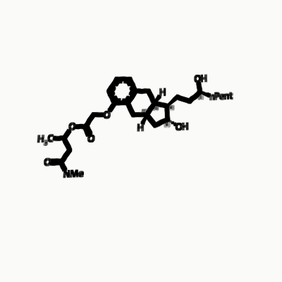 CCCCC[C@H](O)CC[C@@H]1[C@H]2Cc3cccc(OCC(=O)OC(C)CC(=O)NC)c3C[C@H]2C[C@H]1O